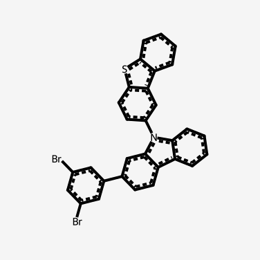 Brc1cc(Br)cc(-c2ccc3c4ccccc4n(-c4ccc5sc6ccccc6c5c4)c3c2)c1